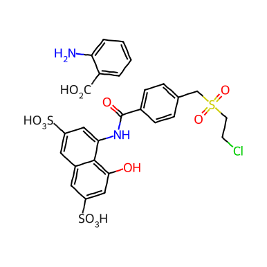 Nc1ccccc1C(=O)O.O=C(Nc1cc(S(=O)(=O)O)cc2cc(S(=O)(=O)O)cc(O)c12)c1ccc(CS(=O)(=O)CCCl)cc1